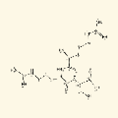 N=C(N)NCCC[C@H](NC(=O)[C@@H](N)CCCNC(=N)N)C(=O)N[C@@H](CS)C(=O)O